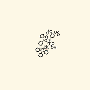 CC(=O)Oc1ccc([C@H](ON=C(C(=O)O)c2csc(NC(c3ccccc3)(c3ccccc3)c3ccccc3)n2)C(=O)OC(c2ccccc2)c2ccccc2)cc1OC(C)=O